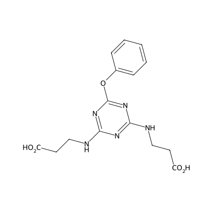 O=C(O)CCNc1nc(NCCC(=O)O)nc(Oc2ccccc2)n1